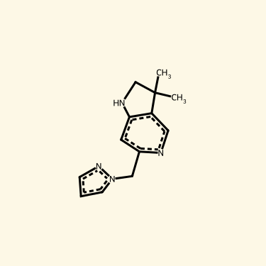 CC1(C)CNc2cc(Cn3cccn3)ncc21